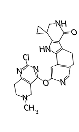 CN1CCc2nc(Cl)nc(Oc3cc4c(cn3)CCc3c-4[nH]c4c3C(=O)NCC43CC3)c2C1